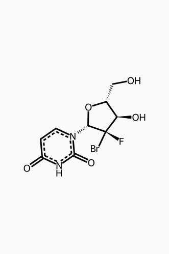 O=c1ccn([C@@H]2O[C@H](CO)[C@@H](O)[C@]2(F)Br)c(=O)[nH]1